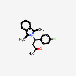 C=c1c2ccccc2c(=C)n1C(CC(C)=O)c1ccc(F)cc1